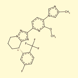 COc1nc(-c2nc3n(n2)CCC[C@H]3c2cc(F)ccc2C(F)(F)F)ccc1-n1cnc(C)c1